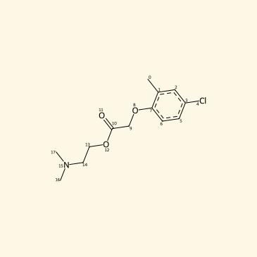 Cc1cc(Cl)ccc1OCC(=O)OCCN(C)C